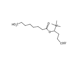 C[N+](C)(C)C(CCC(=O)[O-])OC(=O)CCCCCCC(=O)O